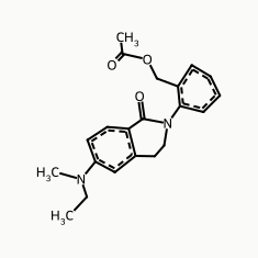 CCN(C)c1ccc2c(c1)CCN(c1ccccc1COC(C)=O)C2=O